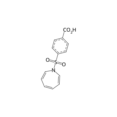 O=C(O)c1ccc(S(=O)(=O)N2C=CC=CC=C2)cc1